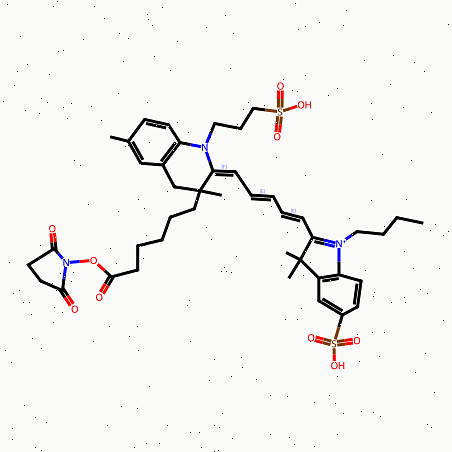 CCCC[N+]1=C(/C=C/C=C/C=C2/N(CCCS(=O)(=O)O)c3ccc(C)cc3CC2(C)CCCCCC(=O)ON2C(=O)CCC2=O)C(C)(C)c2cc(S(=O)(=O)O)ccc21